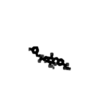 COC(=O)c1ccc(Cn2c(=O)c(C)c3sc(C(=O)NCc4cccc(F)c4)cn3c2=O)cc1